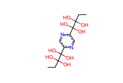 CCC(O)(O)C(O)(O)c1cnc(C(O)(O)C(O)(O)CC)cn1